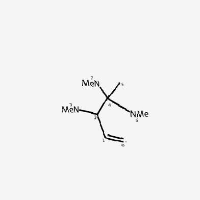 [CH]=CC(NC)C(C)(NC)NC